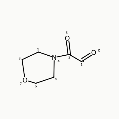 O=[C]C(=O)N1CCOCC1